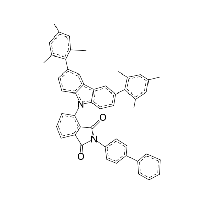 Cc1cc(C)c(-c2ccc3c(c2)c2cc(-c4c(C)cc(C)cc4C)ccc2n3-c2cccc3c2C(=O)N(c2ccc(-c4ccccc4)cc2)C3=O)c(C)c1